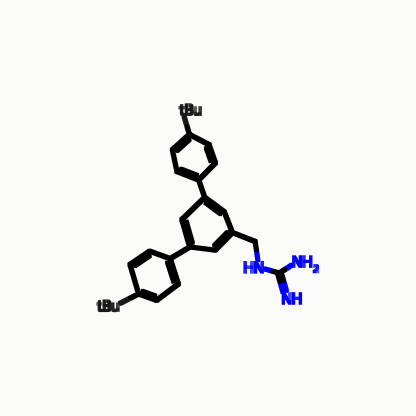 CC(C)(C)c1ccc(-c2cc(CNC(=N)N)cc(-c3ccc(C(C)(C)C)cc3)c2)cc1